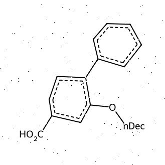 CCCCCCCCCCOc1cc(C(=O)O)ccc1-c1ccccc1